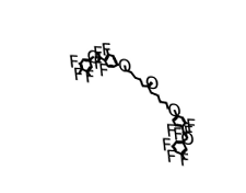 O=C(CCCCCOc1cc(F)c(C(F)(F)Oc2cc(F)c(F)c(F)c2)c(F)c1)CCCCCOc1cc(F)c(C(F)(F)Oc2cc(F)c(F)c(F)c2)c(F)c1